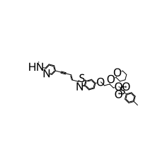 CNc1ccc(C#CC=Cc2nc3ccc(OCC(COS(=O)(=O)c4ccc(C)cc4)OC4CCCCO4)cc3s2)cn1